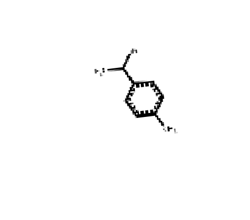 Cc1ccc(C(C(C)C)C(F)(F)F)cc1